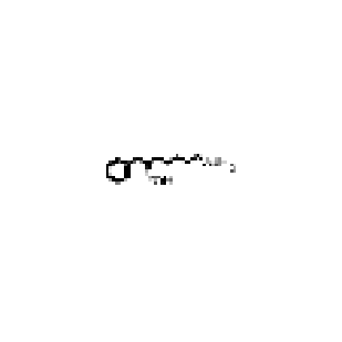 ON=C(C[CH]CCC[AsH2])Cc1ccccc1